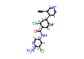 C#Cc1cnccc1-c1cc(Cl)c(C(=O)Nc2cnc(N)c(Cl)c2)cc1F